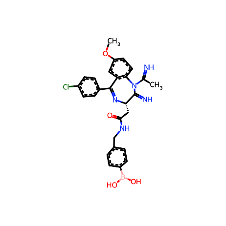 COc1ccc2c(c1)C(c1ccc(Cl)cc1)=N[C@@H](CC(=O)NCc1ccc(B(O)O)cc1)C(=N)N2C(C)=N